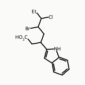 CCC(Cl)C(Br)CC(CC(=O)O)c1cc2ccccc2[nH]1